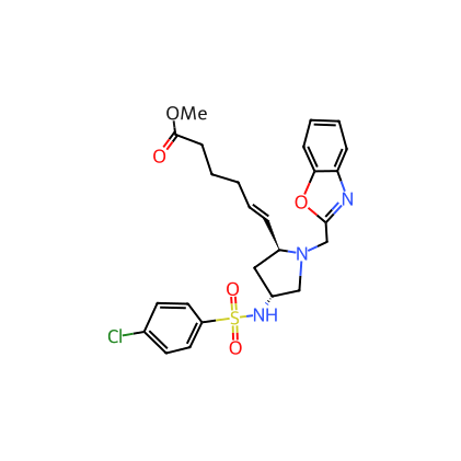 COC(=O)CCCC=C[C@@H]1C[C@@H](NS(=O)(=O)c2ccc(Cl)cc2)CN1Cc1nc2ccccc2o1